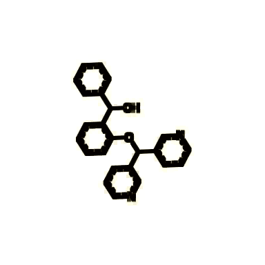 OC(c1ccccc1)c1ccccc1OC(c1cccnc1)c1cccnc1